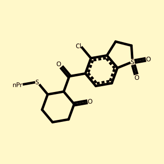 CCCSC1CCCC(=O)C1C(=O)c1ccc2c(c1Cl)CCS2(=O)=O